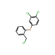 ClCc1ccccc1Sc1ccc(Cl)c(Cl)c1